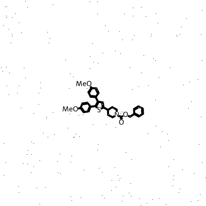 COc1ccc(-c2cc(C3CCN(C(=O)OCc4ccccc4)CC3)sc2-c2ccc(OC)cc2)cc1